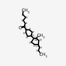 CCCCCC(=O)C1CCC(C2CCC(CCC)CC2C)CC1